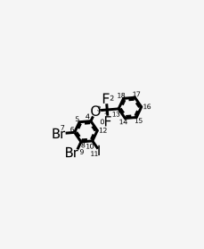 FC(F)(Oc1cc(Br)c(Br)c(I)c1)c1ccccc1